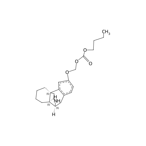 CCCCOC(=O)OCOc1ccc2c(c1)[C@]13CCCC[C@@H]1[C@H](C2)NCC3